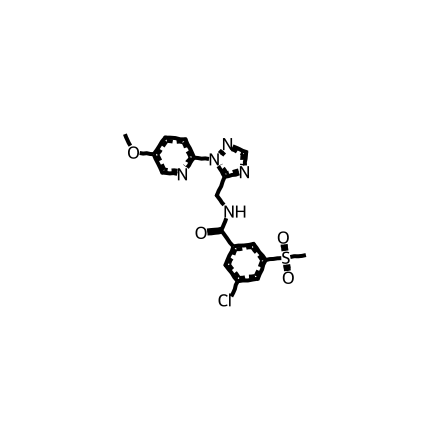 COc1ccc(-n2ncnc2CNC(=O)c2cc(Cl)cc(S(C)(=O)=O)c2)nc1